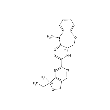 CN1C(=O)[C@@H](NC(=O)c2ncc3c(n2)[C@](C)(CC(F)(F)F)OC3)COc2ccccc21